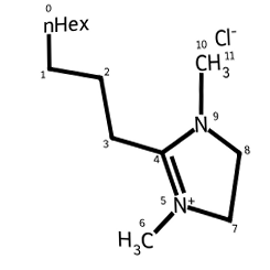 CCCCCCCCCC1=[N+](C)CCN1C.[Cl-]